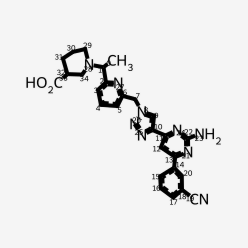 CC(c1cccc(Cn2cc(-c3cc(-c4cccc(C#N)c4)nc(N)n3)nn2)n1)N1CCCC(C(=O)O)C1